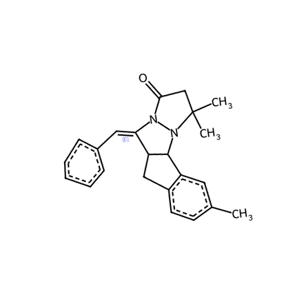 Cc1ccc2c(c1)C1C(C2)/C(=C\c2ccccc2)N2C(=O)CC(C)(C)N12